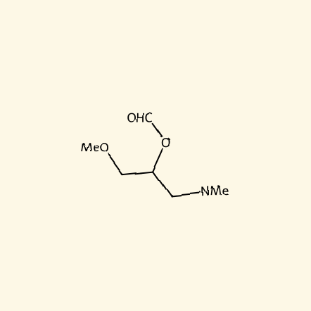 CNCC(COC)OC=O